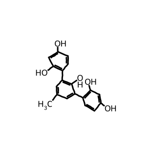 Cc1cc(-c2ccc(O)cc2O)c(O)c(-c2ccc(O)cc2O)c1